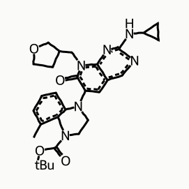 Cc1cccc2c1N(C(=O)OC(C)(C)C)CCN2c1cc2cnc(NC3CC3)nc2n(CC2CCOC2)c1=O